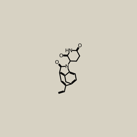 C=CC1=CC2=C3CC1=CC=C3N(C1CCC(=O)NC1=O)C2=O